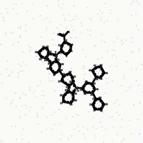 C=C(C)c1cccc(-n2c3ccccc3c3ccc(-c4ccc5c(c4)c4ccccc4n5-c4cc(-c5ccccc5)cc(-c5ccccc5)c4)cc32)c1